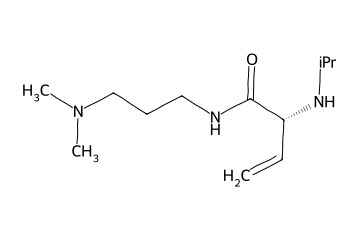 C=C[C@@H](NC(C)C)C(=O)NCCCN(C)C